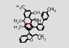 CCc1oc2ccccc2c1-c1cn2c(n1)C(Nc1c(-c3ccc(C)cc3)cccc1-c1ccc(C)cc1)c1c(C)cc(C)cc1C2C